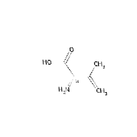 C=C(C)[C@H](N)C(=O)O